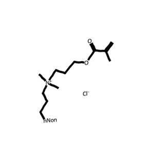 C=C(C)C(=O)OCCC[N+](C)(C)CCCCCCCCCCCC.[Cl-]